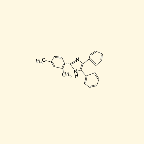 Cc1ccc(-c2nc(-c3ccccc3)c(-c3ccccc3)[nH]2)c(C)c1